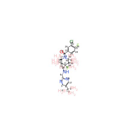 BC(B)(B)c1cnc(CNCC2(F)C(B)(B)C(B)(B)N(C(=O)c3ccc(F)c(Cl)c3)C(B)(B)C2(B)B)nc1